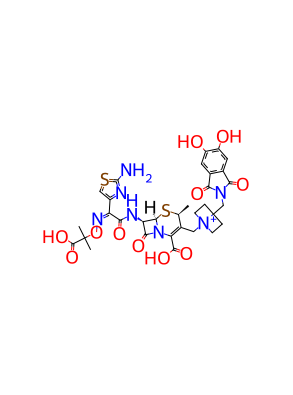 C[C@@H]1S[C@@H]2[C@H](NC(=O)/C(=N\OC(C)(C)C(=O)O)c3csc(N)n3)C(=O)N2C(C(=O)O)=C1C[N+]12CCC1(CN1C(=O)c3cc(O)c(O)cc3C1=O)CC2